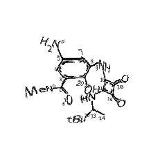 CNC(=O)c1cc(N)cc(Nc2c(N[C@@H](C)C(C)(C)C)c(=O)c2=O)c1O